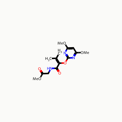 COC(=O)CNC(=O)C(Oc1nc(OC)cc(OC)n1)=C(C)C